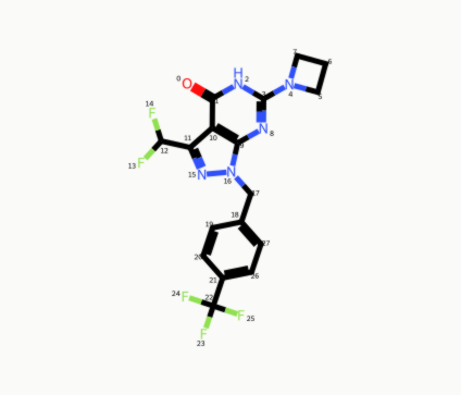 O=c1[nH]c(N2CCC2)nc2c1c(C(F)F)nn2Cc1ccc(C(F)(F)F)cc1